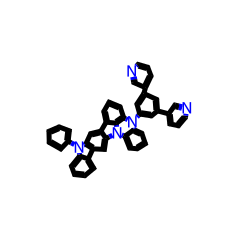 c1ccc(-n2c3ccccc3c3cc4c(cc32)c2cccc3c2n4-c2ccccc2N3c2cc(-c3cccnc3)cc(-c3cccnc3)c2)cc1